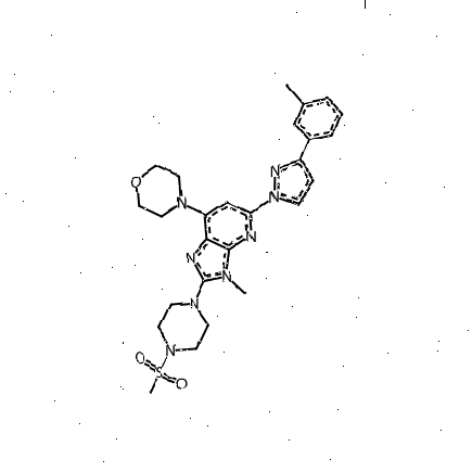 Cc1cccc(-c2ccn(-c3cc(N4CCOCC4)c4nc(N5CCN(S(C)(=O)=O)CC5)n(C)c4n3)n2)c1